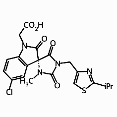 CC(C)c1nc(CN2C(=O)N(C)[C@@]3(C2=O)C(=O)N(CC(=O)O)c2ccc(Cl)cc23)cs1